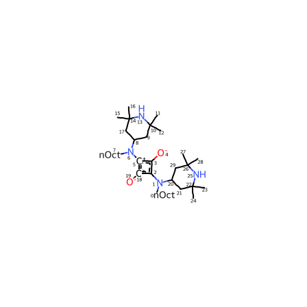 CCCCCCCCN(c1c([O-])[c+](N(CCCCCCCC)C2CC(C)(C)NC(C)(C)C2)[c+]1[O-])C1CC(C)(C)NC(C)(C)C1